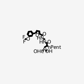 CCCCCC(CN(O)C=O)C(=O)NCNC(=O)c1ccc(-c2cccc(OC(F)F)c2)o1